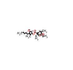 C=CC=CCC1=C(C)[C@@H](OC(=O)[C@@H]2[C@@H](C=C(C)C(=O)OC)C2(C)C)CC1=O